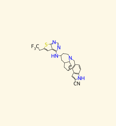 N#Cc1cc2c3c(ccc2[nH]1)CN1CCC(Nc2ncnc4sc(CC(F)(F)F)cc24)CC2CC3CCC21